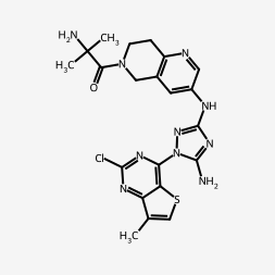 Cc1csc2c(-n3nc(Nc4cnc5c(c4)CN(C(=O)C(C)(C)N)CC5)nc3N)nc(Cl)nc12